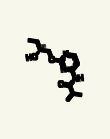 CC[C@@H](O)COc1nccc(NC(=O)C(C)C)n1